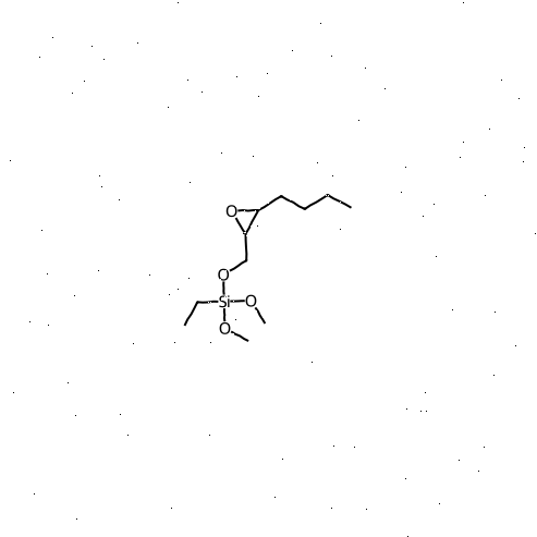 CCCCC1OC1CO[Si](CC)(OC)OC